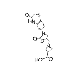 O=C1CSc2ccc(N3CC(CN4CC(C(=O)O)C4)OC3=O)cc2N1